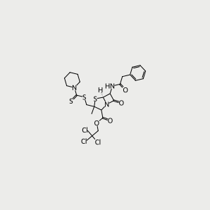 CC1(CSC(=S)N2CCCCC2)S[C@H]2C(NC(=O)Cc3ccccc3)C(=O)N2C1C(=O)OCC(Cl)(Cl)Cl